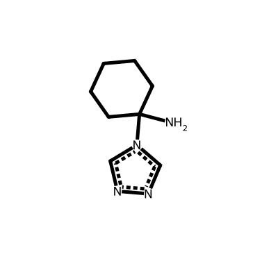 NC1(n2cnnc2)CCCCC1